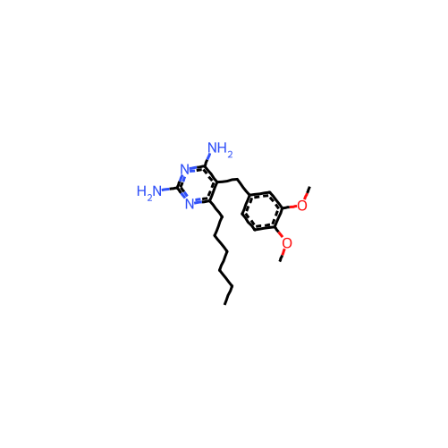 CCCCCCc1nc(N)nc(N)c1Cc1ccc(OC)c(OC)c1